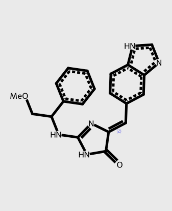 COCC(NC1=N/C(=C\c2ccc3[nH]cnc3c2)C(=O)N1)c1ccccc1